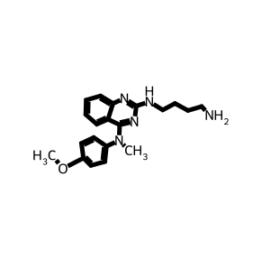 COc1ccc(N(C)c2nc(NCCCCN)nc3ccccc23)cc1